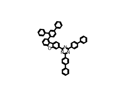 c1ccc(-c2ccc(-c3nc(-c4ccc(-c5ccccc5)cc4)nc(-c4ccc5c(c4)oc4cccc(-c6ccc(-c7ccccc7)cc6-c6ccccc6)c45)n3)cc2)cc1